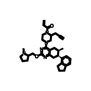 C#CCC1CN(c2nc(OCC3CCCN3C)nc3c2C[C@@H](C)[C@H](c2cccc4c2CCC4)C3)CCN1C(=O)C=C